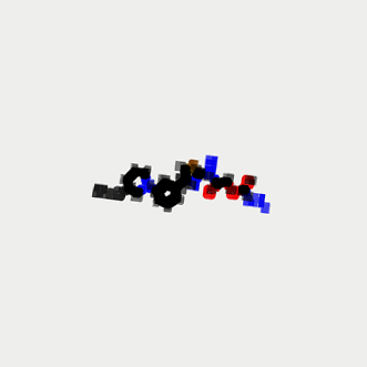 COC1CCCN(c2cccc(-c3csc(NC(=O)COC(N)=O)n3)c2)C1